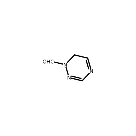 O=CN1CC=NC=N1